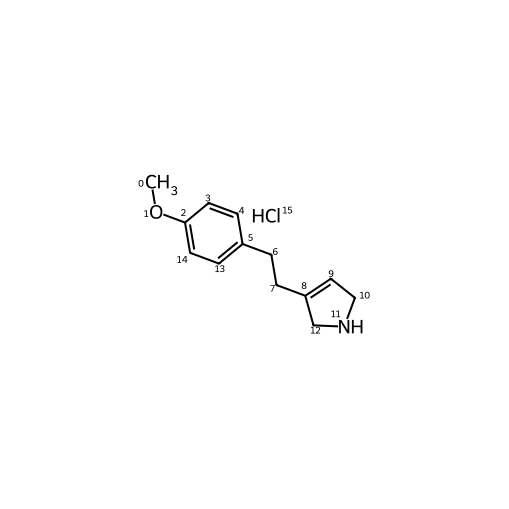 COc1ccc(CCC2=CCNC2)cc1.Cl